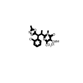 CCOC(=O)c1nc(C(C)C(c2nnc(C)o2)c2ccccc2Cl)n(C)c(=O)c1OC